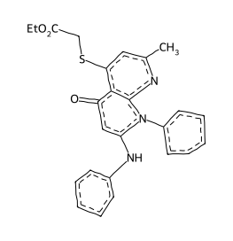 CCOC(=O)CSc1cc(C)nc2c1c(=O)cc(Nc1ccccc1)n2-c1ccccc1